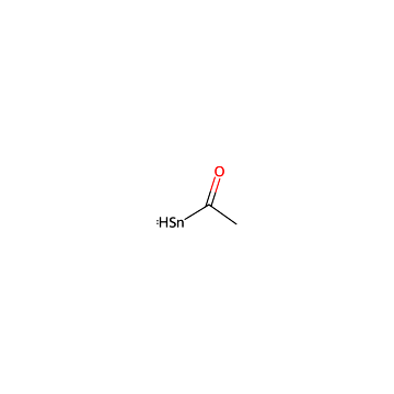 C[C](=O)[SnH]